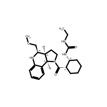 CCNC(=O)N[C@@H]1CCCC[C@@H]1C(=O)N1CC[C@@H]2[C@H](COC)Nc3ccccc3[C@@H]21